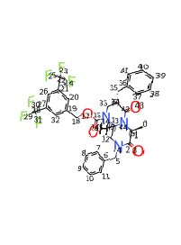 C[C@H]1C(=O)N(Cc2ccccc2)C[C@@H]2N(C(=O)OCc3cc(C(F)(F)F)cc(C(F)(F)F)c3)C[C@H](Cc3ccccc3)C(=O)N21